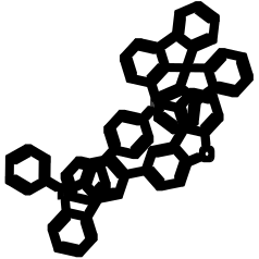 c1ccc(-c2ccc(N(c3cccc4c3C3(c5ccccc5-c5ccccc53)c3ccccc3-4)c3cccc4oc5ccc(-c6ccc7c(c6)c6ccccc6n7-c6ccccc6)cc5c34)cc2)cc1